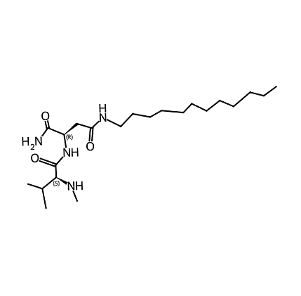 CCCCCCCCCCCCNC(=O)C[C@@H](NC(=O)[C@@H](NC)C(C)C)C(N)=O